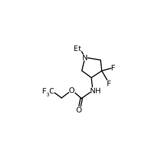 CCN1CC(NC(=O)OCC(F)(F)F)C(F)(F)C1